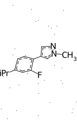 CC(C)c1ccc(-c2cnn(C)c2)c(F)c1